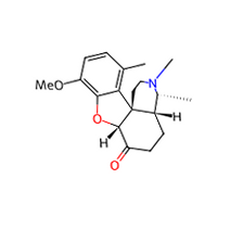 COc1ccc(C)c2c1O[C@H]1C(=O)CC[C@H]3[C@@H](C)N(C)CC[C@]213